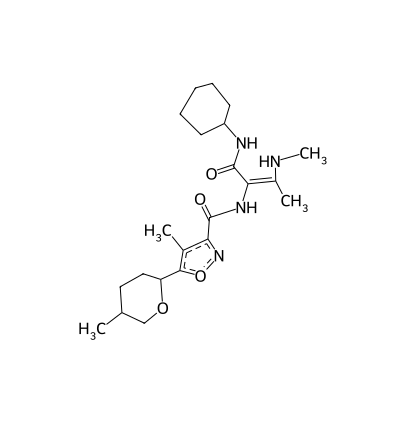 CN/C(C)=C(/NC(=O)c1noc(C2CCC(C)CO2)c1C)C(=O)NC1CCCCC1